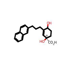 O=C(O)[C@]1(O)C=C(CCCc2ccc3ccccc3c2)C(O)CC1